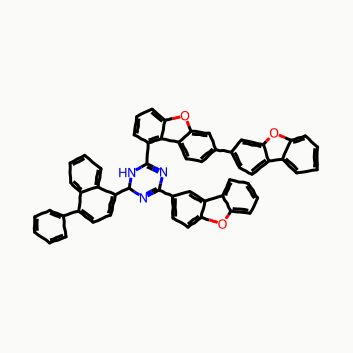 c1ccc(-c2ccc(C3N=C(c4ccc5oc6ccccc6c5c4)N=C(c4cccc5oc6cc(-c7ccc8c(c7)oc7ccccc78)ccc6c45)N3)c3ccccc23)cc1